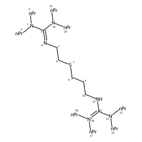 CCCN(CCC)C(=NCCSSCCNC(N(CCC)CCC)=[N+](CCC)CCC)N(CCC)CCC